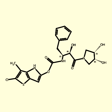 Cc1c(Cl)sc2cc(OC(=O)N[C@@H](Cc3ccccc3)[C@@H](O)C(=O)N3C[C@@H](O)[C@@H](O)C3)[nH]c12